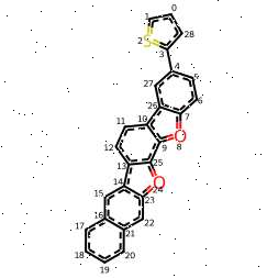 c1csc(-c2ccc3oc4c(ccc5c6cc7ccccc7cc6oc54)c3c2)c1